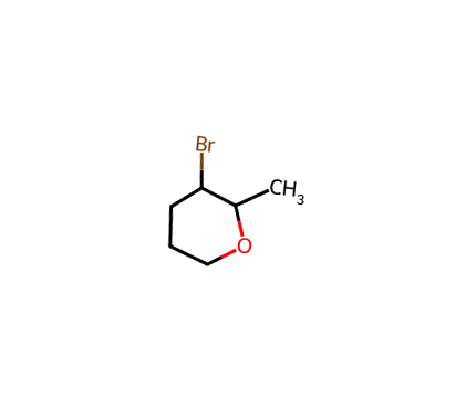 CC1OCCCC1Br